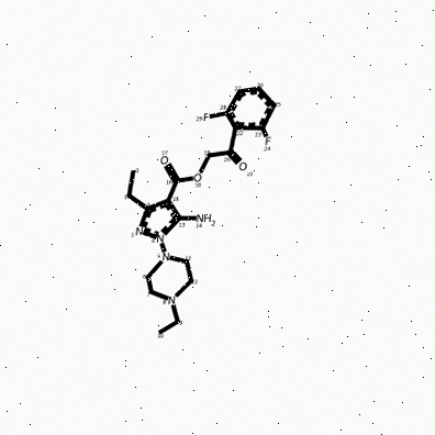 CCc1nn(N2CCN(CC)CC2)c(N)c1C(=O)OCC(=O)c1c(F)cccc1F